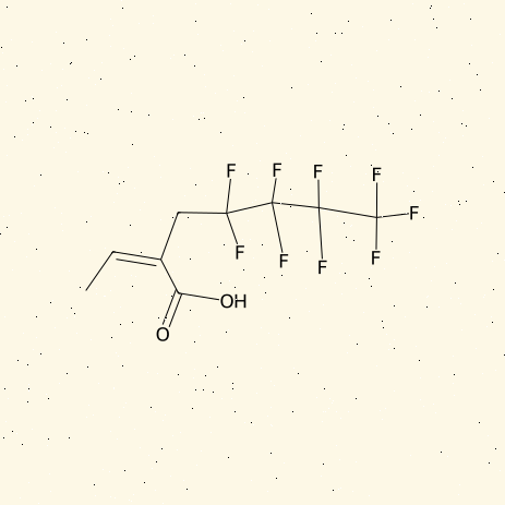 CC=C(CC(F)(F)C(F)(F)C(F)(F)C(F)(F)F)C(=O)O